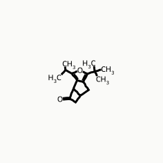 CC(C)c1oc(C(C)(C)C)c2c1C1C(=O)CC1C2